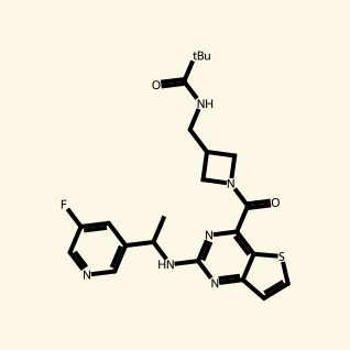 CC(Nc1nc(C(=O)N2CC(CNC(=O)C(C)(C)C)C2)c2sccc2n1)c1cncc(F)c1